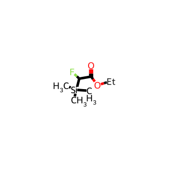 CCOC(=O)C(F)[Si](C)(C)C